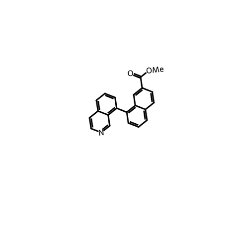 COC(=O)c1ccc2cccc(-c3cccc4ccncc34)c2c1